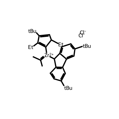 CCC1=[C]([Zr+2](=[C](C)C)[CH]2c3ccc(C(C)(C)C)cc3-c3cc(C(C)(C)C)ccc32)C(CC)C=C1C(C)(C)C.[Cl-].[Cl-]